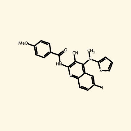 COc1ccc(C(=O)Nc2nc3ccc(I)cc3c(N(C)c3cccs3)c2C#N)cc1